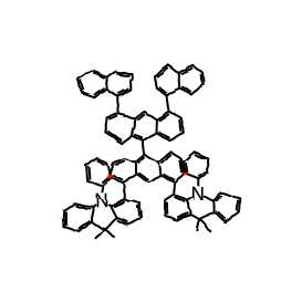 CC1(C)c2ccccc2N(c2ccccc2)c2c(-c3cccc4c(-c5c6cccc(-c7cccc8ccccc78)c6cc6c(-c7cccc8ccccc78)cccc56)c5cccc(-c6cccc7c6N(c6ccccc6)c6ccccc6C7(C)C)c5cc34)cccc21